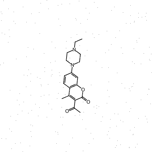 CCN1CCN(c2ccc3c(C)c(C(C)=O)c(=O)oc3c2)CC1